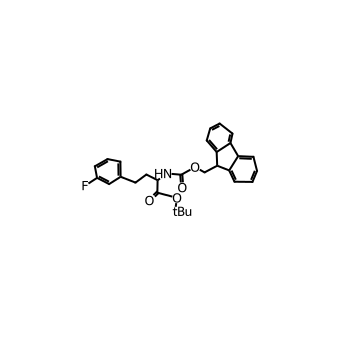 CC(C)(C)OC(=O)C(CCc1cccc(F)c1)NC(=O)OCC1c2ccccc2-c2ccccc21